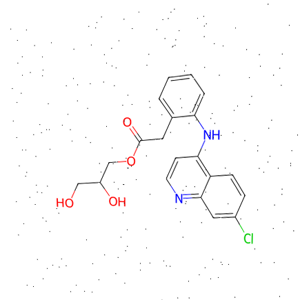 O=C(Cc1ccccc1Nc1ccnc2cc(Cl)ccc12)OCC(O)CO